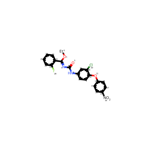 CCO/C(=N\C(=O)Nc1ccc(Oc2ccc([N+](=O)[O-])cc2)c(Cl)c1)c1ccccc1F